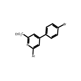 CCOC(=O)c1cc(-c2ccc(Br)cc2)cc(C(C)=O)n1